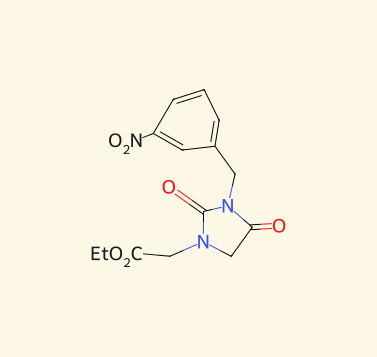 CCOC(=O)CN1CC(=O)N(Cc2cccc([N+](=O)[O-])c2)C1=O